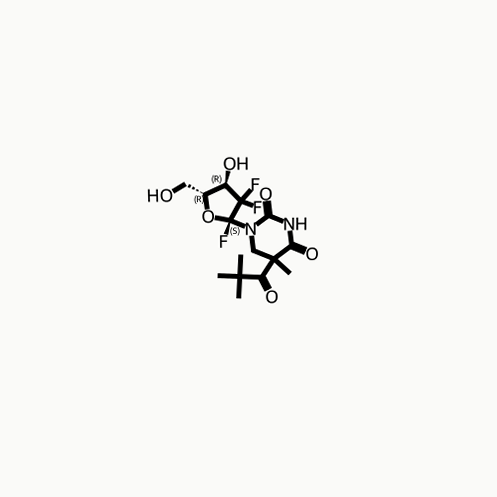 CC(C)(C)C(=O)C1(C)CN([C@]2(F)O[C@H](CO)[C@@H](O)C2(F)F)C(=O)NC1=O